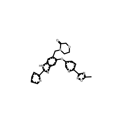 Cc1nc(-c2ccc(Oc3cc4nc(-c5ccccn5)[nH]c4cc3CN3CCOCC3=O)cn2)no1